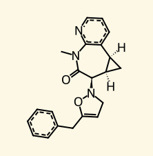 CN1C(=O)[C@H](N2CC=C(Cc3ccccc3)O2)[C@@H]2C[C@@H]2c2cccnc21